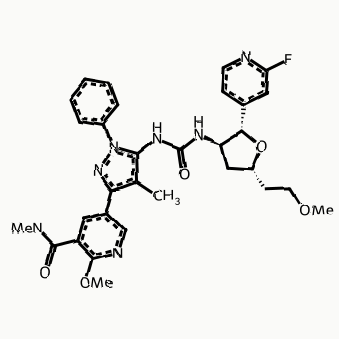 CNC(=O)c1cc(-c2nn(-c3ccccc3)c(NC(=O)N[C@@H]3C[C@@H](CCOC)O[C@H]3c3ccnc(F)c3)c2C)cnc1OC